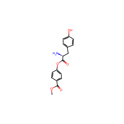 COC(=O)c1ccc(OC(=O)[C@@H](N)Cc2ccc(O)cc2)cc1